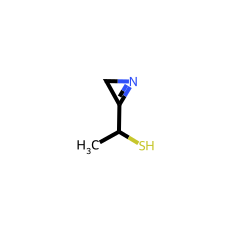 CC(S)C1=NC1